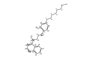 CCCCCCCCc1ccc(OCCN(C)c2ncnc3ccccc23)c(C)c1